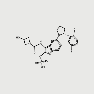 O=C(Nc1c(OS(=O)(=O)O)nn2ccc(N3CCC[C@@H]3c3cc(F)ccc3F)nc12)N1CC(O)C1